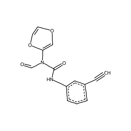 C#Cc1cccc(NC(=O)N(C=O)C2=COC=CO2)c1